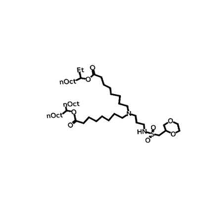 CCCCCCCCC(CC)OC(=O)CCCCCCCN(CCCCCCCC(=O)OC(CCCCCCCC)CCCCCCCC)CCCNS(=O)(=O)CC1COCCO1